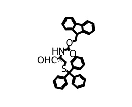 O=C[C@H](CSC(c1ccccc1)(c1ccccc1)c1ccccc1)NC(=O)OCC1c2ccccc2-c2ccccc21